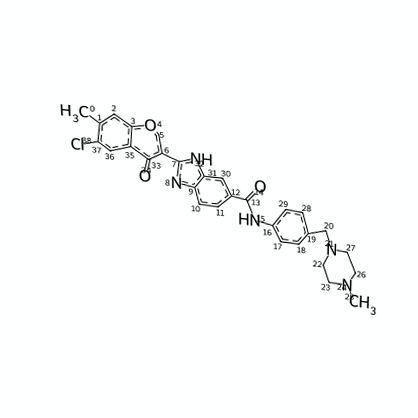 Cc1cc2occ(-c3nc4ccc(C(=O)Nc5ccc(CN6CCN(C)CC6)cc5)cc4[nH]3)c(=O)c2cc1Cl